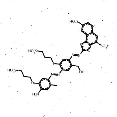 Cc1cc(N)c(OCCCS(=O)(=O)O)cc1N=Nc1cc(CO)c(N=Nc2nc3c(S(=O)(=O)O)cc4ccc(S(=O)(=O)O)cc4c3s2)cc1SCCCS(=O)(=O)O